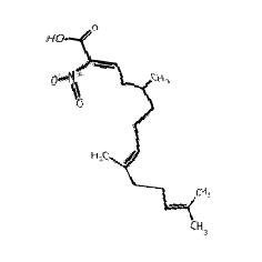 CC(C)=CCCC(C)=CCCC(C)CC=C(C(=O)O)[N+](=O)[O-]